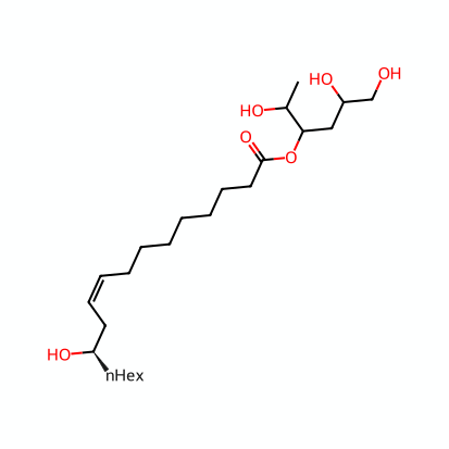 CCCCCC[C@@H](O)C/C=C\CCCCCCCC(=O)OC(CC(O)CO)C(C)O